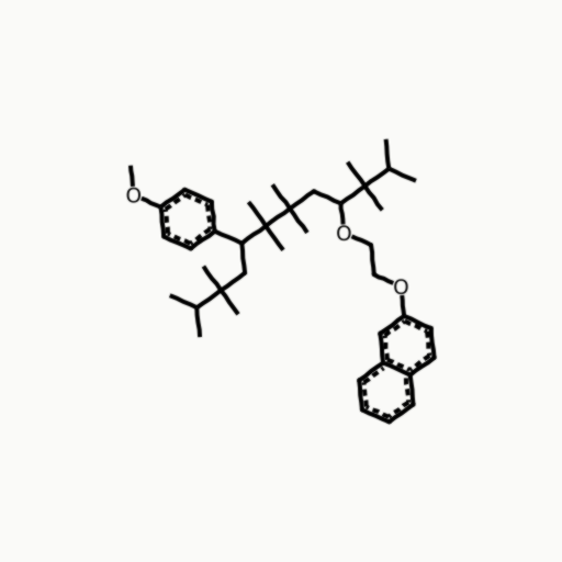 COc1ccc(C(CC(C)(C)C(C)C)C(C)(C)C(C)(C)CC(OCCOc2ccc3ccccc3c2)C(C)(C)C(C)C)cc1